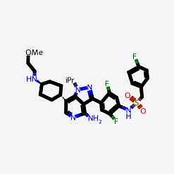 COCCN[C@H]1CC[C@H](c2cnc(N)c3c(-c4cc(F)c(NS(=O)(=O)Cc5ccc(F)cc5)cc4F)nn(C(C)C)c32)CC1